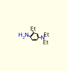 CCc1cc(N(CC)CC)ccc1N